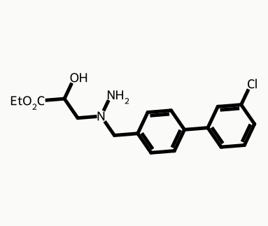 CCOC(=O)C(O)CN(N)Cc1ccc(-c2cccc(Cl)c2)cc1